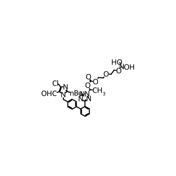 CCCCc1nc(Cl)c(C=O)n1Cc1ccc(-c2ccccc2-c2nnn(C(C)OC(=O)OCCOCCON(O)O)n2)cc1